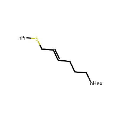 CCCCCCCCC/C=C/CSCCC